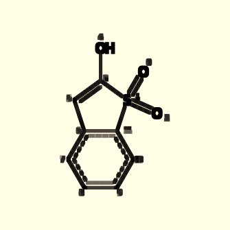 O=S1(=O)C(O)=Cc2ccccc21